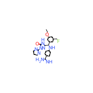 CCOc1cc(CF)cc(C(Nc2ccc(C(=N)N)cc2)c2nn(-c3ncccn3)c(=O)[nH]2)c1